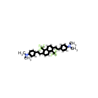 CN(C)c1ccc(C=Cc2ccc3c(C(F)(F)F)c(C=Cc4ccc(N(C)C)cc4)ccc3c2C(F)(F)F)cc1